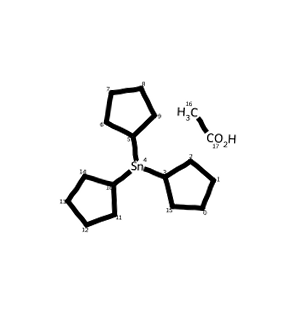 C1CC[CH]([Sn]([CH]2CCCC2)[CH]2CCCC2)C1.CC(=O)O